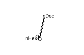 CCCCCCCCCCCCCCCCCCCCCC(=O)OCCCCCC